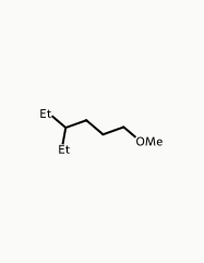 CCC(CC)CCCOC